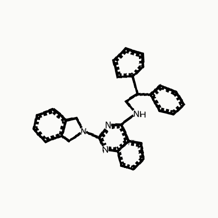 c1ccc(C(CNc2nc(N3Cc4ccccc4C3)nc3ccccc23)c2ccccc2)cc1